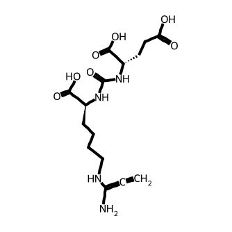 C=C=C(N)NCCCC[C@H](NC(=O)N[C@@H](CCC(=O)O)C(=O)O)C(=O)O